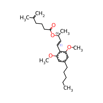 C=C(C)CCCC(=O)O[C@@H](C)/C=C/c1c(OC)cc(CCCCC)cc1OC